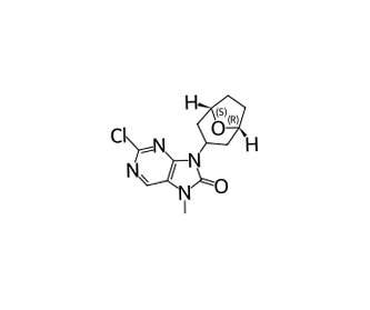 Cn1c(=O)n(C2C[C@H]3CC[C@@H](C2)O3)c2nc(Cl)ncc21